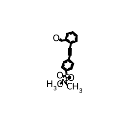 CN(C)S(=O)(=O)c1ccc(C#Cc2ccccc2C=O)cc1